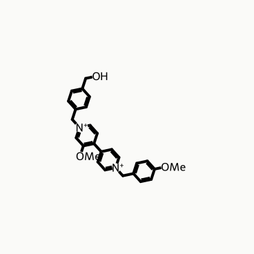 COc1ccc(C[n+]2ccc(-c3cc[n+](Cc4ccc(CO)cc4)cc3OC)cc2)cc1